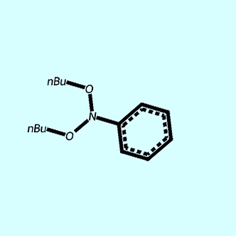 CCCCON(OCCCC)c1ccccc1